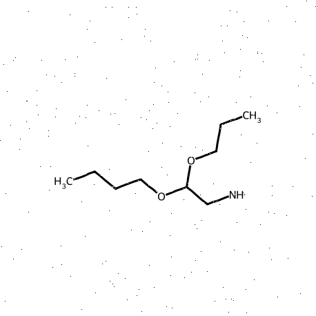 CCCCOC(C[NH])OCCC